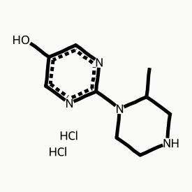 CC1CNCCN1c1ncc(O)cn1.Cl.Cl